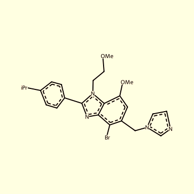 COCCn1c(-c2ccc(C(C)C)cc2)nc2c(Br)c(Cn3ccnc3)cc(OC)c21